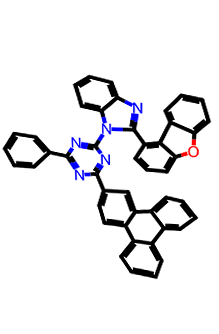 c1ccc(-c2nc(-c3ccc4c5ccccc5c5ccccc5c4c3)nc(-n3c(-c4cccc5oc6ccccc6c45)nc4ccccc43)n2)cc1